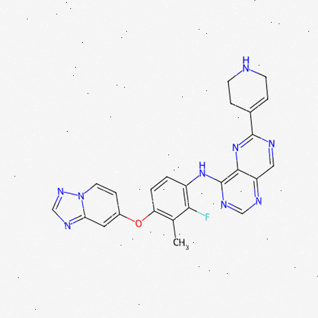 Cc1c(Oc2ccn3ncnc3c2)ccc(Nc2ncnc3cnc(C4=CCNCC4)nc23)c1F